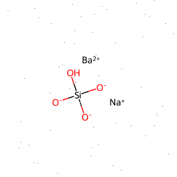 [Ba+2].[Na+].[O-][Si]([O-])([O-])O